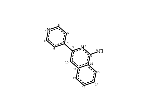 Clc1nc(-c2ccncc2)cc2ccccc12